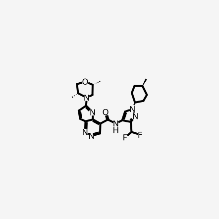 C[C@@H]1CN(c2ccc3nncc(C(=O)Nc4cn([C@H]5CC[C@H](C)CC5)nc4C(F)F)c3n2)[C@H](C)CO1